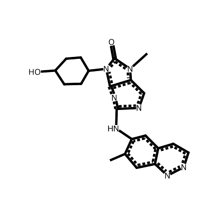 Cc1cc2nnccc2cc1Nc1ncc2c(n1)n(C1CCC(O)CC1)c(=O)n2C